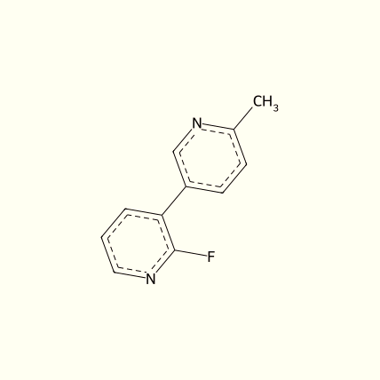 Cc1ccc(-c2cccnc2F)cn1